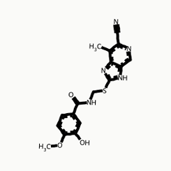 COc1ccc(C(=O)NCSc2nc3c(C)c(C#N)ncc3[nH]2)cc1O